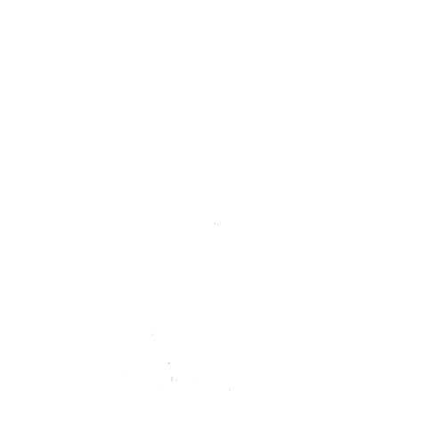 CC(C)(C)OC(=O)N[C@H]1CN(CCCCCCC(=O)NCCOCCOCCCCCCCl)CC1(C)C